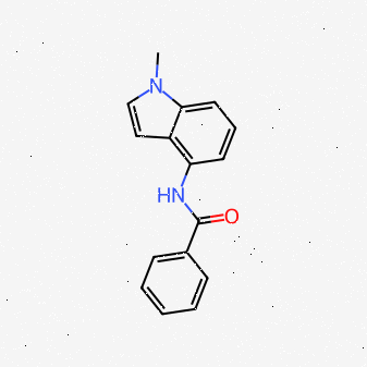 Cn1ccc2c(NC(=O)c3ccccc3)cccc21